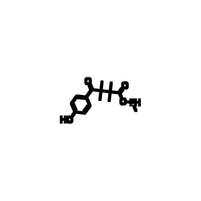 CPOC(=O)C(C)(C)C(C)(C)C(=O)c1ccc(O)cc1